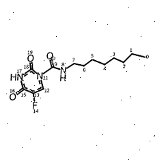 CCCCCCCCNC(=O)n1cc(F)c(=O)[nH]c1=O